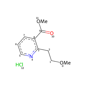 COCCc1ncccc1C(=O)OC.Cl